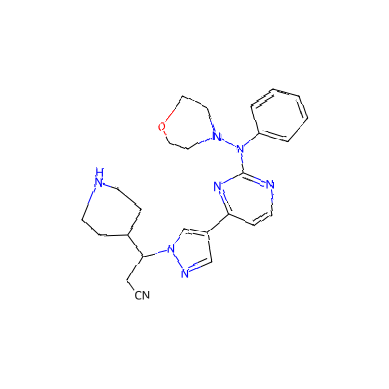 N#CCC(C1CCNCC1)n1cc(-c2ccnc(N(c3ccccc3)N3CCOCC3)n2)cn1